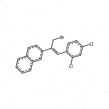 Clc1ccc(C=C(CBr)c2ccc3ccccc3c2)c(Cl)c1